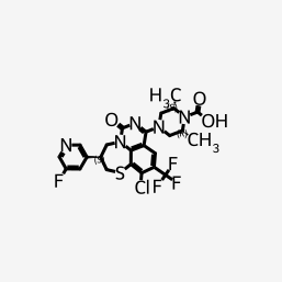 C[C@@H]1CN(c2nc(=O)n3c4c(c(Cl)c(C(F)(F)F)cc24)SC[C@@H](c2cncc(F)c2)C3)C[C@H](C)N1C(=O)O